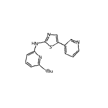 CC(C)(C)c1cccc(Nc2ncc(-c3cccnc3)s2)n1